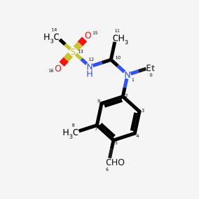 CCN(c1ccc(C=O)c(C)c1)C(C)NS(C)(=O)=O